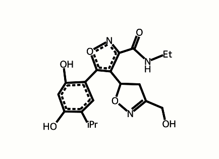 CCNC(=O)c1noc(-c2cc(C(C)C)c(O)cc2O)c1C1CC(CO)=NO1